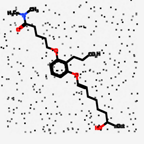 CCCCCCCCC(O)CCCC/C=C/Oc1cccc(OCCCCC(=O)N(C)C)c1CCC(=O)O